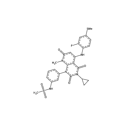 CSc1ccc(Nc2cc(=O)n(C)c3c2c(=O)n(C2CC2)c(=O)n3-c2cccc(NS(C)(=O)=O)c2)c(F)c1